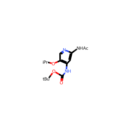 CC(=O)Nc1cc(NC(=O)OC(C)(C)C)c(OC(C)C)cn1